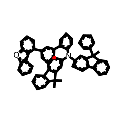 CC1(C)c2ccccc2-c2ccc(N(c3ccc4c(c3)C(C)(c3ccccc3)c3ccccc3-4)c3ccccc3-c3cccc(-c4cccc5oc6ccccc6c45)c3)cc21